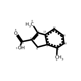 CC1=C(C(=O)O)Cc2c(C)cccc21